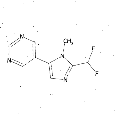 Cn1c(-c2cncnc2)cnc1C(F)F